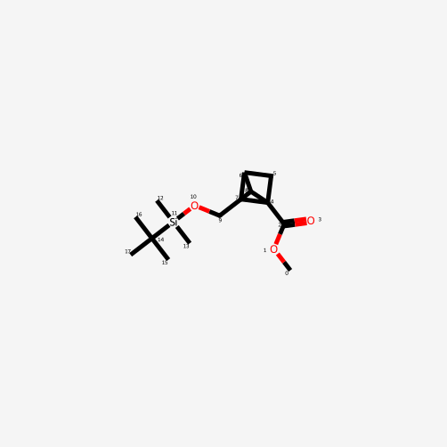 COC(=O)C12CC(C1)C2CO[Si](C)(C)C(C)(C)C